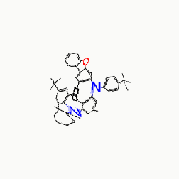 Cc1cc2c3c(c1)N1c4c(cc(C(C)(C)C)cc4C4(C)CCCCC14C)B3c1cc3c(cc1N2c1ccc(C(C)(C)C)cc1)oc1ccccc13